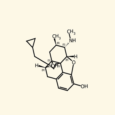 CN[C@H]1[C@H](C)C[C@@]2(O)[C@H]3Cc4ccc(O)c5c4[C@@]2(CCN3CC2CC2)[C@H]1O5